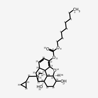 CCCCCCCCOC(=O)OC1=C2O[C@H]3C(O)CC[C@@]4(O)C5CC(C=C1)C2[C@@]34CCN5CC1CC1